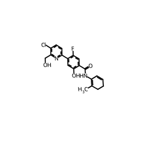 CC1=C(NC(=O)c2cc(F)c(-c3ccc(Cl)c(CO)n3)cc2O)C=CCC1